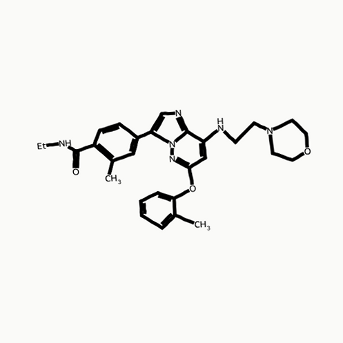 CCNC(=O)c1ccc(-c2cnc3c(NCCN4CCOCC4)cc(Oc4ccccc4C)nn23)cc1C